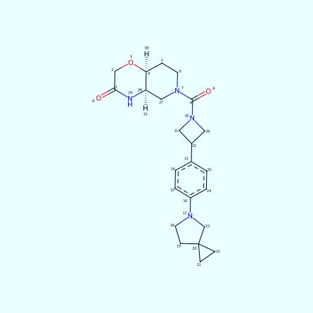 O=C1CO[C@H]2CCN(C(=O)N3CC(c4ccc(N5CCC6(CC6)C5)cc4)C3)C[C@H]2N1